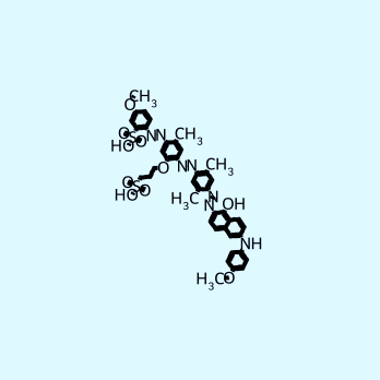 COc1ccc(Nc2ccc3c(O)c(N=Nc4cc(C)c(N=Nc5cc(C)c(N=Nc6ccc(OC)cc6S(=O)(=O)O)cc5OCCCS(=O)(=O)O)cc4C)ccc3c2)cc1